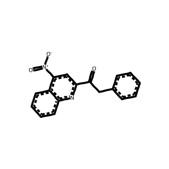 O=C(Cc1ccccc1)c1cc([N+](=O)[O-])c2ccccc2n1